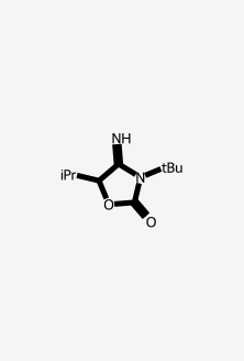 CC(C)C1OC(=O)N(C(C)(C)C)C1=N